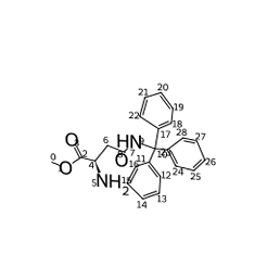 COC(=O)[C@H](N)CC(=O)NC(c1ccccc1)(c1ccccc1)c1ccccc1